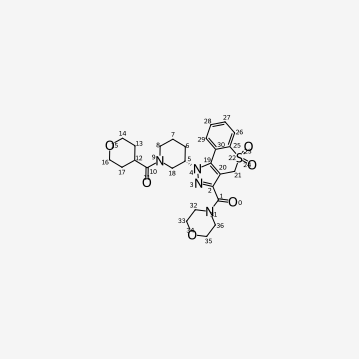 O=C(c1nn([C@H]2CCCN(C(=O)C3CCOCC3)C2)c2c1CS(=O)(=O)c1ccccc1-2)N1CCOCC1